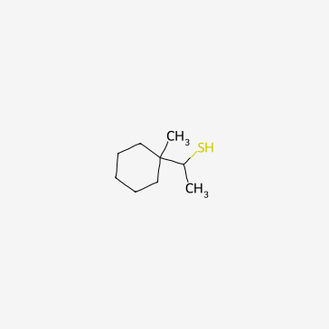 CC(S)C1(C)CCCCC1